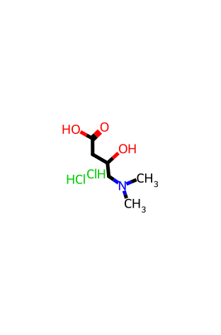 CN(C)CC(O)CC(=O)O.Cl.Cl